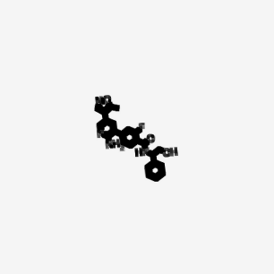 Cc1oncc1-c1cnc(N)c(-c2ccc(C(=O)NC(CO)c3ccccc3)c(F)c2)c1